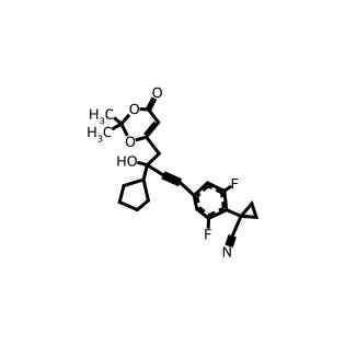 CC1(C)OC(=O)C=C(CC(O)(C#Cc2cc(F)c(C3(C#N)CC3)c(F)c2)C2CCCC2)O1